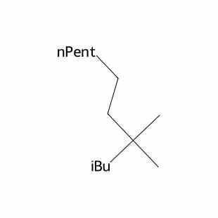 [CH2]C(CC)C(C)(C)CCCCCCC